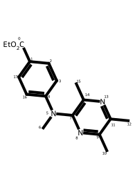 CCOC(=O)c1ccc(N(C)c2nc(C)c(C)nc2C)cc1